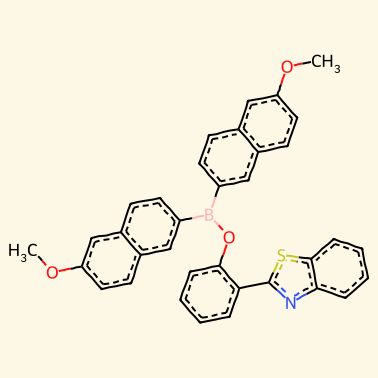 COc1ccc2cc(B(Oc3ccccc3-c3nc4ccccc4s3)c3ccc4cc(OC)ccc4c3)ccc2c1